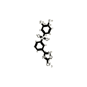 O=S(=O)(c1[c]ccc(-c2noc(C(F)(F)F)n2)c1)c1ccc(F)c(F)c1